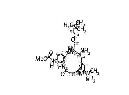 COC(=O)Nc1ccc2c(c1)NC(=O)CCc1nc(cc(N(C)C)n1)C[C@H](N)c1nc-2cn1COCC[Si](C)(C)C